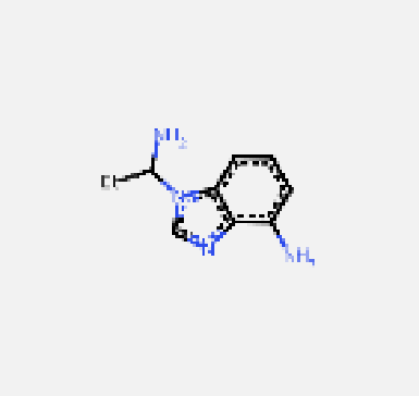 CCC(N)n1cnc2c(N)cccc21